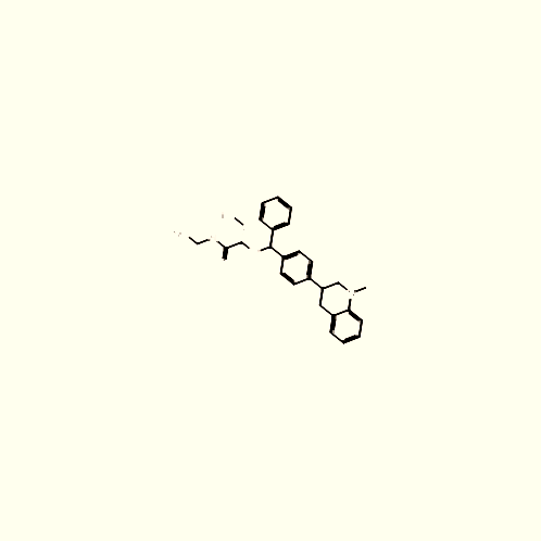 CC(C)C[C@H](OC(c1ccccc1)c1ccc(C2Cc3ccccc3N(C)C2)cc1)C(=O)NCC#N